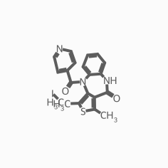 CI.Cc1sc(C)c2c1C(=O)Nc1ccccc1N2C(=O)c1ccncc1